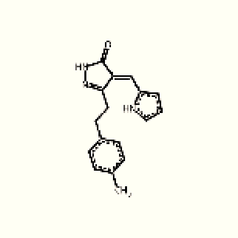 Cc1ccc(CCC2=NNC(=O)C2=Cc2ccc[nH]2)cc1